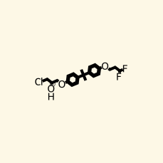 CC(C)(c1ccc(OCCC(F)F)cc1)c1ccc(OC[C@@H](O)CCl)cc1